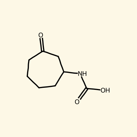 O=C1CCCCC(NC(=O)O)C1